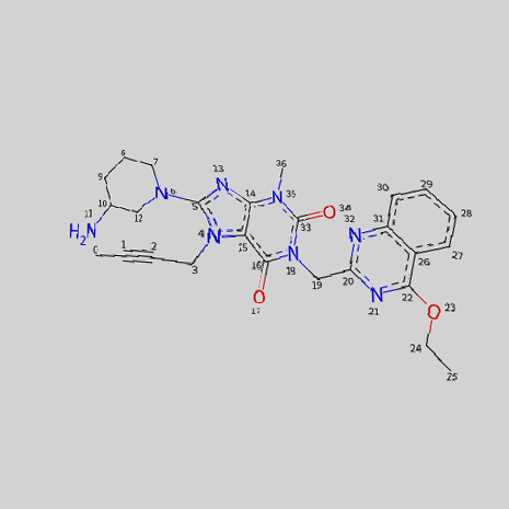 CC#CCn1c(N2CCCC(N)C2)nc2c1c(=O)n(Cc1nc(OCC)c3ccccc3n1)c(=O)n2C